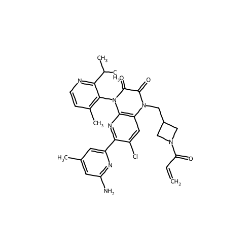 C=CC(=O)N1CC(Cn2c(=O)c(=O)n(-c3c(C)ccnc3C(C)C)c3nc(-c4cc(C)cc(N)n4)c(Cl)cc32)C1